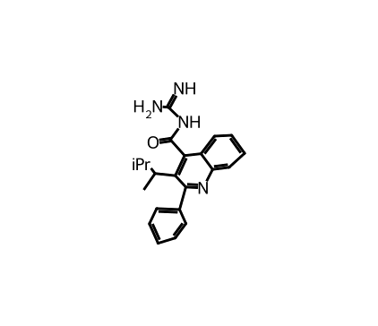 CC(C)C(C)c1c(-c2ccccc2)nc2ccccc2c1C(=O)NC(=N)N